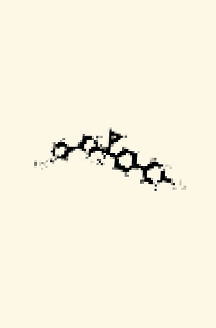 Cn1cc(-c2coc([C@](C)(c3ccc(-c4cnc(N)nc4)cc3)C3CC3)n2)cn1